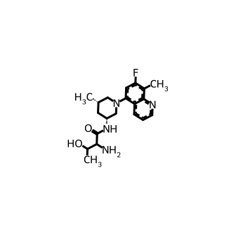 Cc1c(F)cc(N2C[C@@H](C)C[C@@H](NC(=O)C(N)C(C)O)C2)c2cccnc12